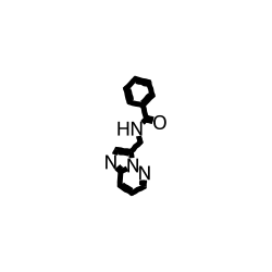 O=C(NCc1cnc2cccnn12)c1ccccc1